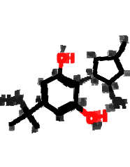 CCCCCCC(C)(C)c1cc(O)c([C@@H]2CC(C)C[C@H]2C(C)C)c(O)c1